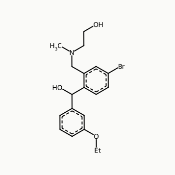 CCOc1cccc(C(O)c2ccc(Br)cc2CN(C)CCO)c1